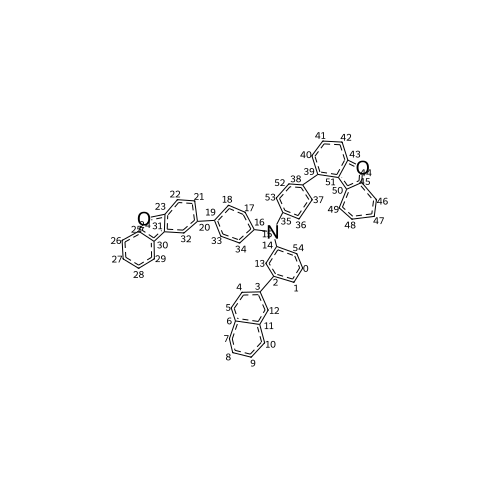 c1cc(-c2ccc3ccccc3c2)cc(N(c2ccc(-c3ccc4oc5ccccc5c4c3)cc2)c2ccc(-c3cccc4oc5ccccc5c34)cc2)c1